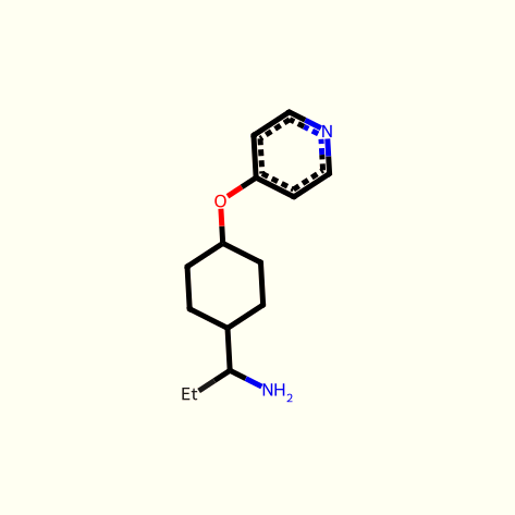 CCC(N)C1CCC(Oc2ccncc2)CC1